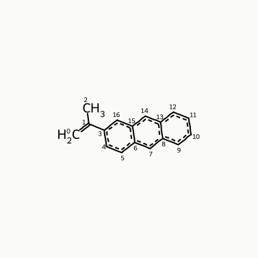 C=C(C)c1ccc2cc3ccccc3cc2c1